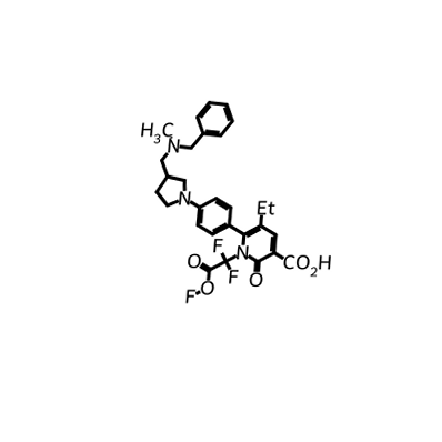 CCc1cc(C(=O)O)c(=O)n(C(F)(F)C(=O)OF)c1-c1ccc(N2CCC(CN(C)Cc3ccccc3)C2)cc1